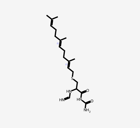 CC(C)=CCC/C(C)=C/CC/C(C)=C/CSCC(NC=N)C(=O)NC(N)=O